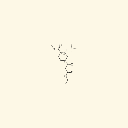 CCOC(=O)CC(=O)[C@@H]1CCN(C(=O)OC)[C@H](CC(C)(C)C)C1